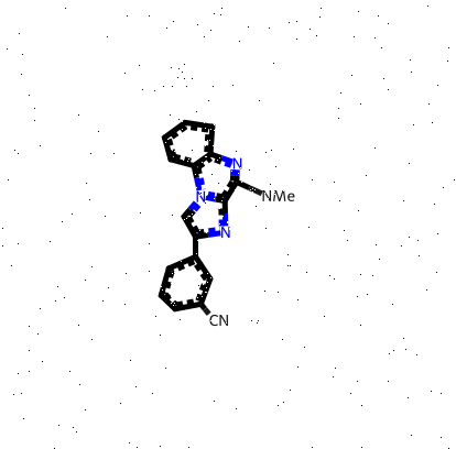 CNc1nc2ccccc2n2cc(-c3cccc(C#N)c3)nc12